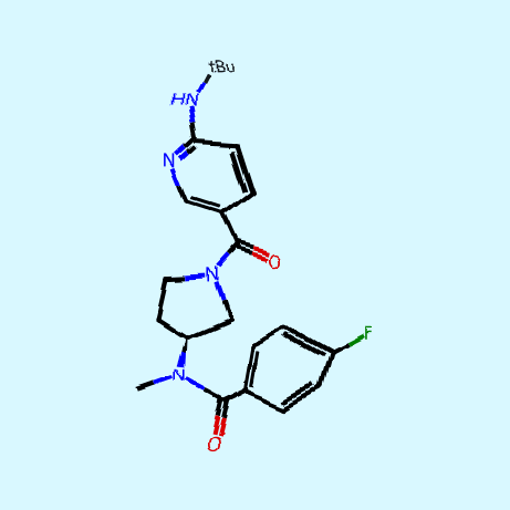 CN(C(=O)c1ccc(F)cc1)[C@H]1CCN(C(=O)c2ccc(NC(C)(C)C)nc2)C1